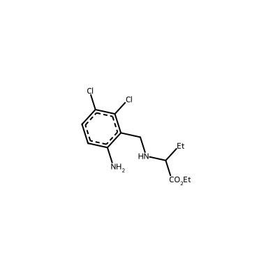 CCOC(=O)C(CC)NCc1c(N)ccc(Cl)c1Cl